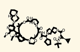 CCn1c(-c2cc(N3CCN4CCCC[C@@H]4C3)cnc2[C@H](C)OC)c2c3cc(ccc31)N1CCO[C@@H](C[C@H](NC(=O)[C@H](C3CCCC3)N3CC[C@]4(CCN(C(=O)[C@H]5[C@@H](C6CC6)N5[S@+]([O-])C(C)(C)C)C4)C3)C(=O)N3CCC[C@H](N3)C(=O)OCC(C)(C)C2)C1